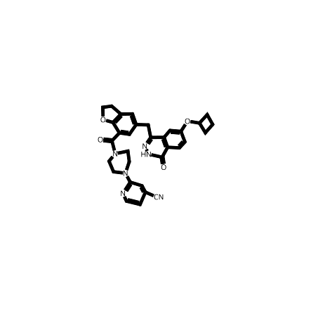 N#Cc1ccnc(N2CCN(C(=O)c3cc(Cc4n[nH]c(=O)c5ccc(OC6CCC6)cc45)cc4c3OCC4)CC2)c1